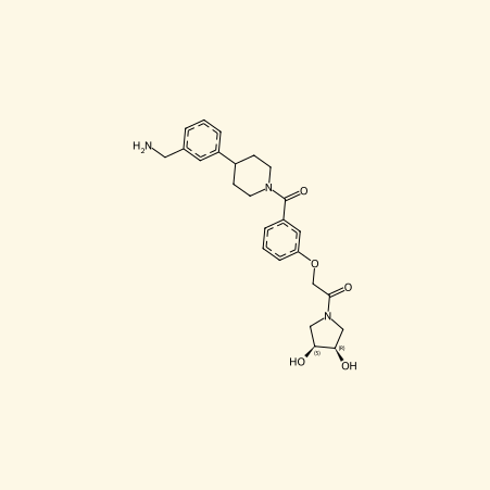 NCc1cccc(C2CCN(C(=O)c3cccc(OCC(=O)N4C[C@@H](O)[C@@H](O)C4)c3)CC2)c1